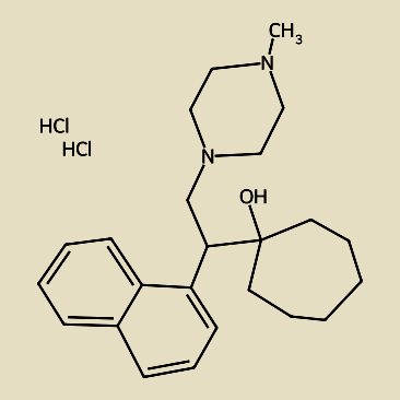 CN1CCN(CC(c2cccc3ccccc23)C2(O)CCCCCC2)CC1.Cl.Cl